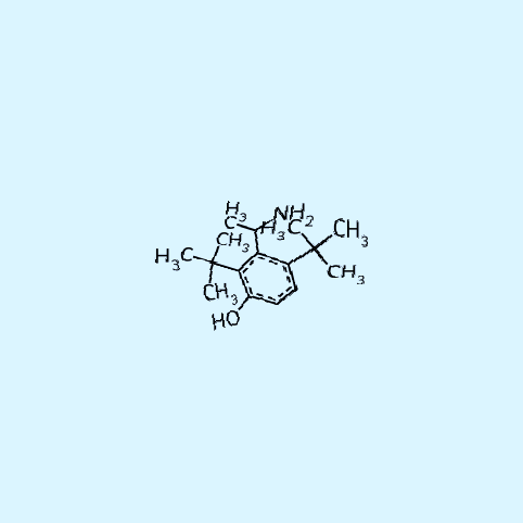 CC(N)c1c(C(C)(C)C)ccc(O)c1C(C)(C)C